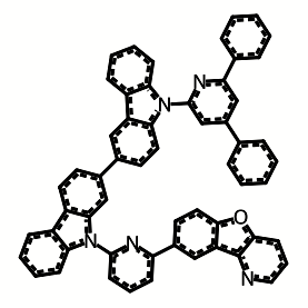 c1ccc(-c2cc(-c3ccccc3)nc(-n3c4ccccc4c4cc(-c5ccc6c7ccccc7n(-c7cccc(-c8ccc9oc%10cccnc%10c9c8)n7)c6c5)ccc43)c2)cc1